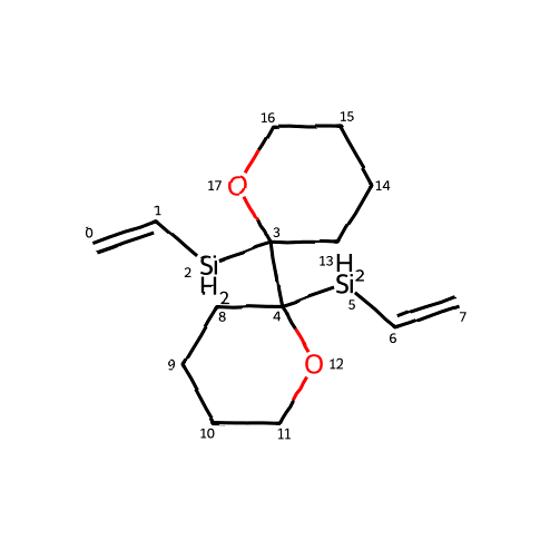 C=C[SiH2]C1(C2([SiH2]C=C)CCCCO2)CCCCO1